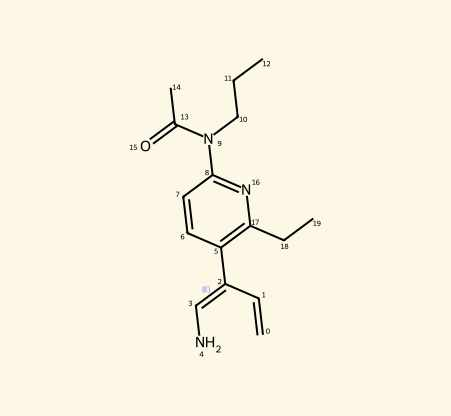 C=C/C(=C\N)c1ccc(N(CCC)C(C)=O)nc1CC